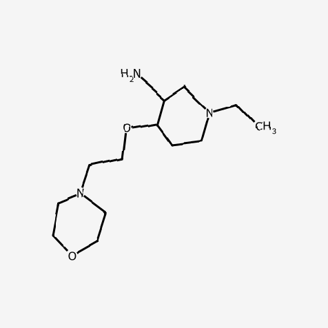 CCN1CCC(OCCN2CCOCC2)C(N)C1